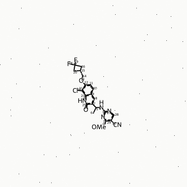 COc1nc(NC(C)c2cc3ccc(OCC4CC(F)(F)C4)c(Cl)c3[nH]c2=O)ncc1C#N